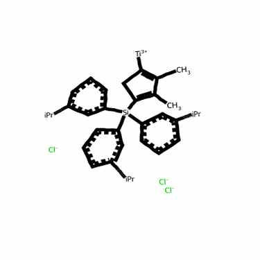 CC1=[C]([Ti+3])CC([Si](c2cccc(C(C)C)c2)(c2cccc(C(C)C)c2)c2cccc(C(C)C)c2)=C1C.[Cl-].[Cl-].[Cl-]